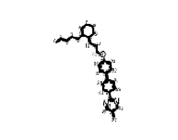 CCCCCC1CCCCC1CCCOc1ccc(-c2ccc(-c3ncc(C)cn3)cc2)cc1